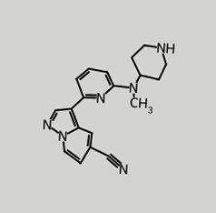 CN(c1cccc(-c2cnn3ccc(C#N)cc23)n1)C1CCNCC1